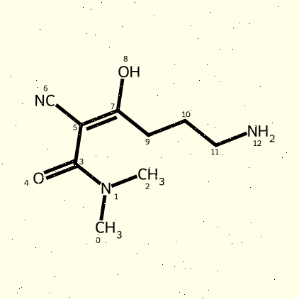 CN(C)C(=O)C(C#N)=C(O)CCCN